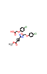 COC(=O)C12CC(c3noc(COc4ccc(Cl)cc4)n3)(C1)C2.O=C(O)COc1ccc(Cl)cc1